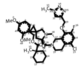 COc1ccc(COC(=O)[C@@]2(C)CCCC[C@H]2C(=O)N2CCc3c(Cl)cc(F)c(OCc4cn(C)nn4)c3[C@H]2CN2CC3(CC3)CC2=O)c(OC)c1